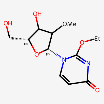 CCOc1nc(=O)ccn1[C@@H]1O[C@H](CO)C(O)C1OC